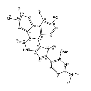 COc1nc(N(C)C)ncc1-c1nc2c(n1C(C)C)C(c1ccc(Cl)c(F)c1)N(c1ccc(F)c(Cl)c1)C(=O)N2